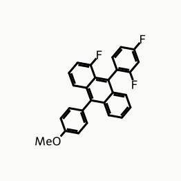 COc1ccc(-c2c3ccccc3c(-c3ccc(F)cc3F)c3c(F)cccc23)cc1